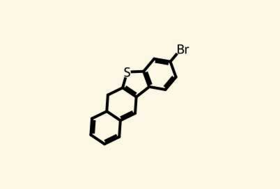 Brc1ccc2c3c(sc2c1)CC1C=CC=CC1=C3